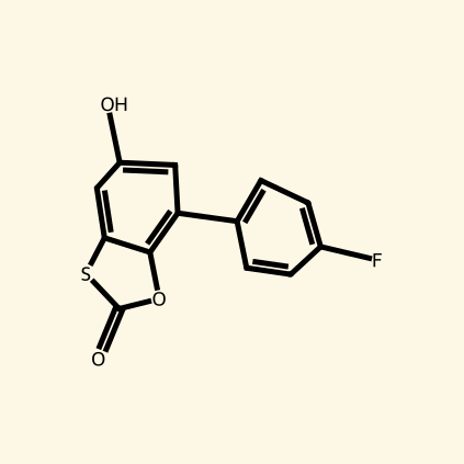 O=c1oc2c(-c3ccc(F)cc3)cc(O)cc2s1